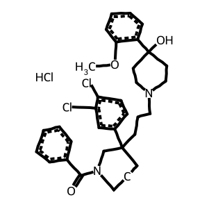 COc1ccccc1C1(O)CCN(CCCC2(c3ccc(Cl)c(Cl)c3)CCCN(C(=O)c3ccccc3)C2)CC1.Cl